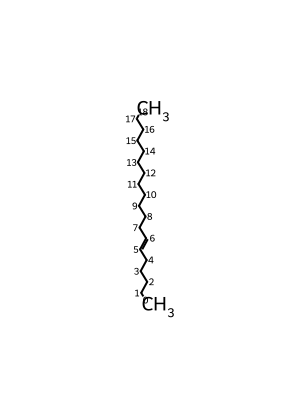 CCCCCC=CCCCCCCCCCCCC